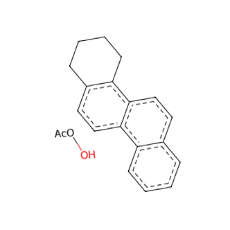 CC(=O)OO.c1ccc2c(c1)ccc1c3c(ccc12)CCCC3